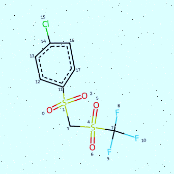 O=S(=O)(CS(=O)(=O)C(F)(F)F)c1ccc(Cl)cc1